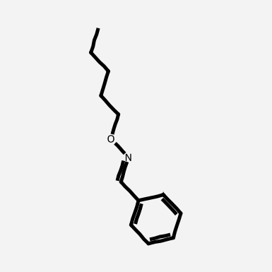 CCCCCON=Cc1[c]cccc1